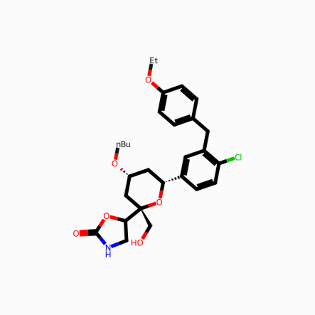 CCCCO[C@@H]1C[C@H](c2ccc(Cl)c(Cc3ccc(OCC)cc3)c2)O[C@](CO)(C2CNC(=O)O2)C1